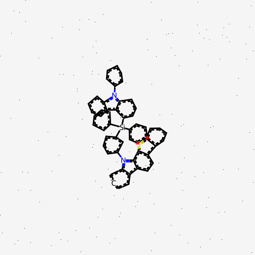 c1ccc(-n2c3ccccc3c3c([Si](c4ccccc4)(c4ccccc4)c4cccc(-n5c6ccccc6c6ccc7c8ccccc8sc7c65)c4)cccc32)cc1